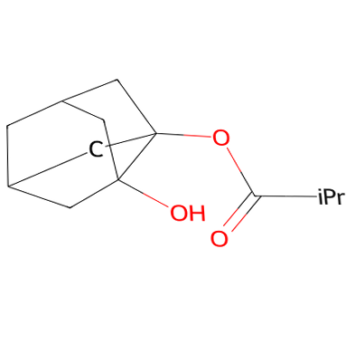 CC(C)C(=O)OC12CC3CC(CC1(O)C3)C2